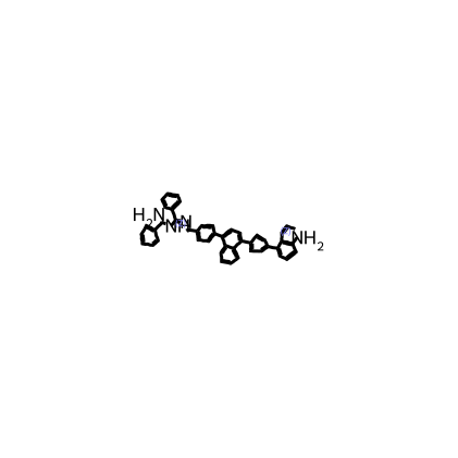 C/C=C\c1c(N)cccc1-c1ccc(-c2ccc(-c3ccc(C/N=C(\NC(N)c4ccccc4)c4ccccc4)cc3)c3ccccc23)cc1